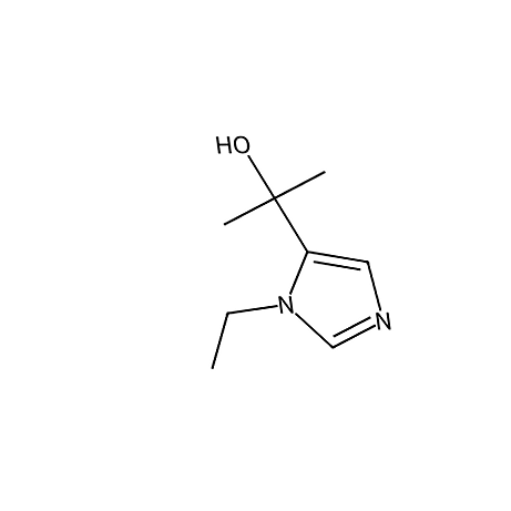 CCn1cncc1C(C)(C)O